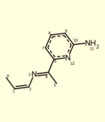 C/C=C\N=C(/C)c1cccc(N)n1